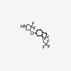 FC(F)(F)Cn1ncc2ccc(OC3CNCC3(F)F)cc21